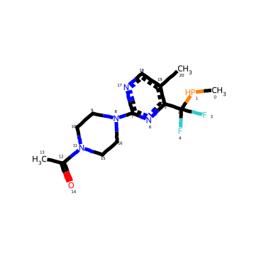 CPC(F)(F)c1nc(N2CCN(C(C)=O)CC2)ncc1C